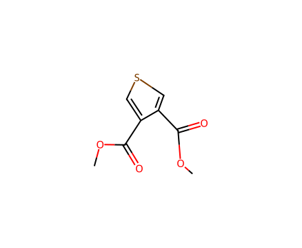 COC(=O)c1cscc1C(=O)OC